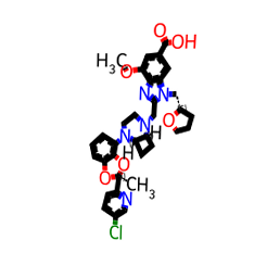 COc1cc(C(=O)O)cc2c1nc(CN1CCN(c3cccc4c3O[C@@](C)(c3ccc(Cl)cn3)O4)[C@@H]3CC[C@@H]31)n2C[C@@H]1CCCO1